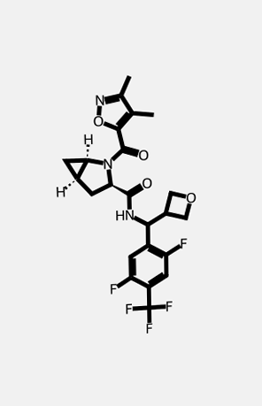 Cc1noc(C(=O)N2[C@@H](C(=O)NC(c3cc(F)c(C(F)(F)F)cc3F)C3COC3)C[C@H]3C[C@H]32)c1C